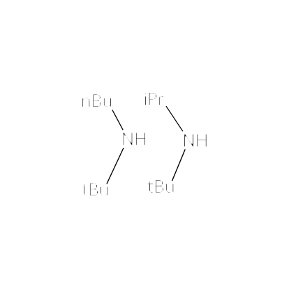 CC(C)NC(C)(C)C.CCCCNC(C)(C)C